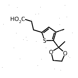 Cc1cc(CCC(=O)O)sc1C1(C)OCCO1